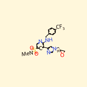 CNS(=O)(=O)c1cnc(NCc2ccc(C(F)(F)F)cc2)c(-c2cn(C[C@@H]3CO3)cn2)c1